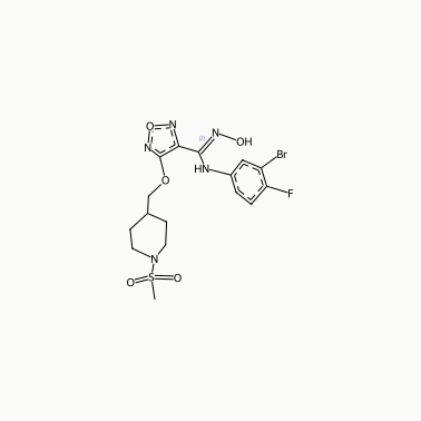 CS(=O)(=O)N1CCC(COc2nonc2/C(=N/O)Nc2ccc(F)c(Br)c2)CC1